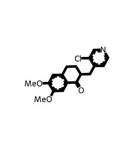 COc1cc2c(cc1OC)C(=O)C(Cc1ccncc1Cl)CC2